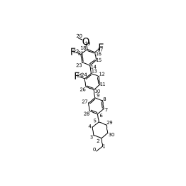 CCC1CCC(c2ccc(-c3ccc(-c4cc(F)c(OC)c(F)c4)c(F)c3)cc2)CC1